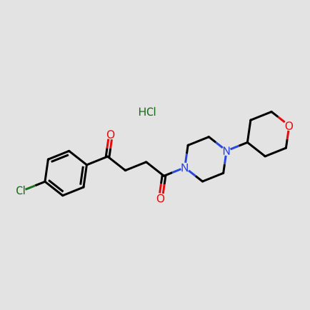 Cl.O=C(CCC(=O)N1CCN(C2CCOCC2)CC1)c1ccc(Cl)cc1